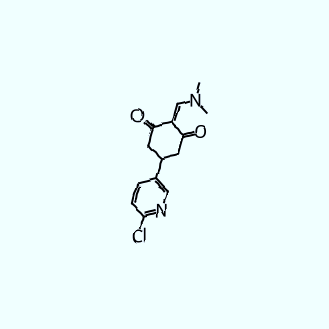 CN(C)C=C1C(=O)CC(c2ccc(Cl)nc2)CC1=O